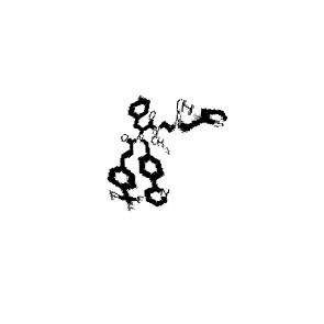 CN(CCN(C)C(=O)C(Cc1ccccc1)N(Cc1ccc(-c2ccccn2)cc1)C(=O)C=Cc1ccc(C(F)(F)F)cc1)Cc1cccs1